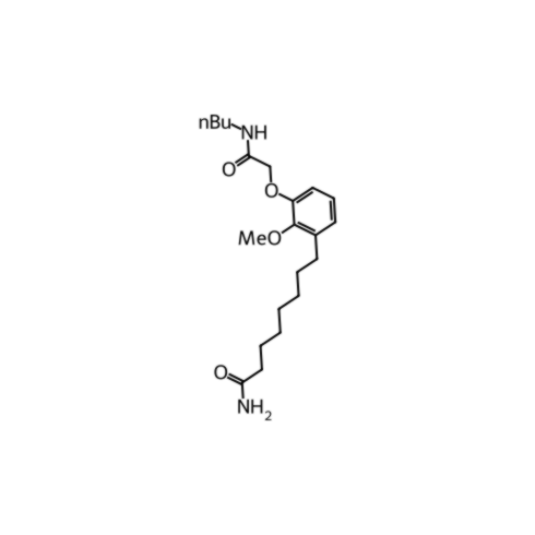 CCCCNC(=O)COc1cccc(CCCCCCCC(N)=O)c1OC